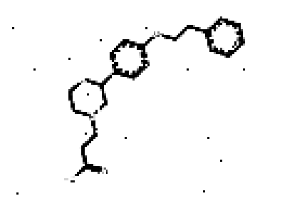 O=C(O)CCN1CCOC(c2ccc(OCCc3ccccc3)cc2)C1